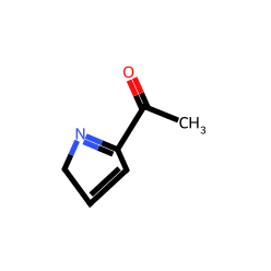 CC(=O)C1=NCC=C1